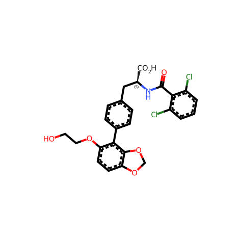 O=C(N[C@@H](Cc1ccc(-c2c(OCCO)ccc3c2OCO3)cc1)C(=O)O)c1c(Cl)cccc1Cl